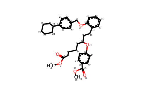 COC(=O)CCCCC(CCc1ccccc1OCc1ccc(C2CCCCC2)cc1)Oc1ccc(C(=O)OC)cc1